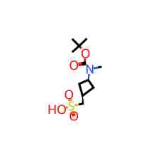 CN(C(=O)OC(C)(C)C)[C@H]1C[C@@H](CS(=O)(=O)O)C1